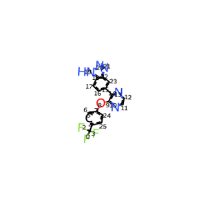 FC(F)(F)c1ccc(Oc2nccnc2-c2ccc3[nH]nnc3c2)cc1